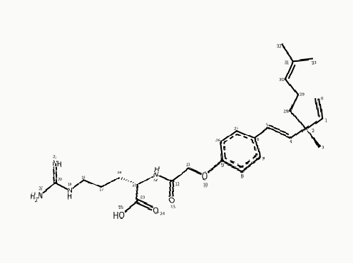 C=C[C@](C)(/C=C/c1ccc(OCC(=O)N[C@@H](CCCNC(=N)N)C(=O)O)cc1)CCC=C(C)C